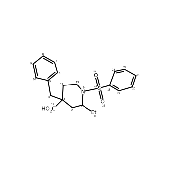 CCC1CC(Cc2ccccc2)(C(=O)O)CCN1S(=O)(=O)c1ccccc1